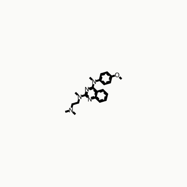 COc1ccc(N(C)c2nc(N(C)CCN(C)C)nc3ccccc23)cc1